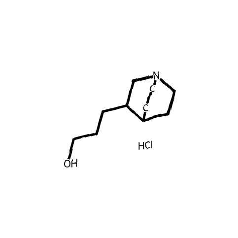 Cl.OCCCC1CN2CCC1CC2